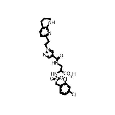 O=C(NCC(NS(=O)(=O)Cc1ccc(Cl)cc1Cl)C(=O)O)c1cnn(CCc2ccc3c(n2)NCCC3)c1